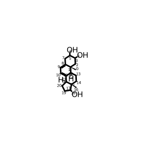 C[C@]12CC(O)C(O)CC1=CC=C1[C@H]2CC[C@]2(C)C(O)CC[C@@H]12